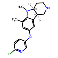 CN1c2c(cc(Nc3ccc(Cl)nc3)cc2C(F)(F)F)[C@@H]2CNCC[C@@H]21